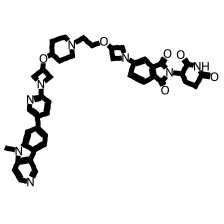 Cn1c2ccncc2c2ccc(-c3ccc(N4CC(OC5CCN(CCOC6CN(c7ccc8c(c7)C(=O)N(C7CCC(=O)NC7=O)C8=O)C6)CC5)C4)nc3)cc21